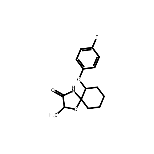 CC1OC2(CCCCC2Oc2ccc(F)cc2)NC1=O